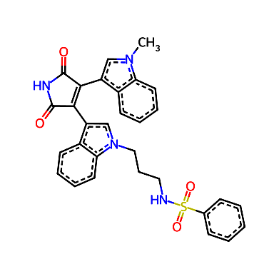 Cn1cc(C2=C(c3cn(CCCNS(=O)(=O)c4ccccc4)c4ccccc34)C(=O)NC2=O)c2ccccc21